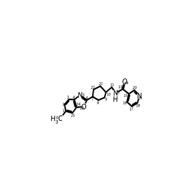 Cc1ccc2nc(C3CCC(CNC(=O)c4cccnc4)CC3)oc2c1